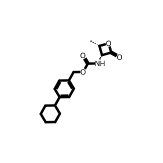 C[C@@H]1OC(=O)[C@@H]1NC(=O)OCc1ccc(C2CCCCC2)cc1